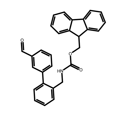 O=Cc1cccc(-c2ccccc2CNC(=O)OCC2c3ccccc3-c3ccccc32)c1